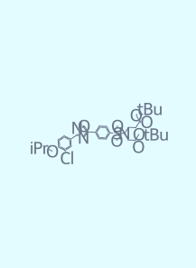 CC(C)Oc1ccc(-c2noc(-c3ccc(S(=O)(=O)N(CCC(=O)OC(C)(C)C)CC(=O)OC(C)(C)C)cc3)n2)cc1Cl